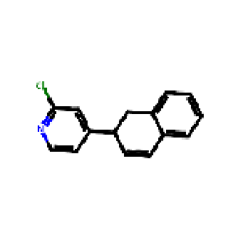 Clc1cc(C2C=Cc3ccccc3C2)ccn1